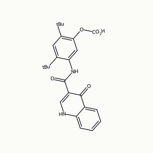 CC(C)(C)c1cc(C(C)(C)C)c(OC(=O)O)cc1NC(=O)c1c[nH]c2ccccc2c1=O